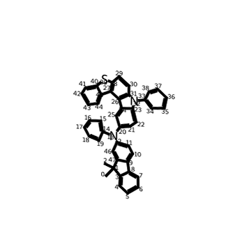 CC1(C)c2ccccc2-c2ccc(N(c3ccccc3)c3ccc4c(c3)c3c5c(ccc3n4-c3ccccc3)sc3ccccc35)cc21